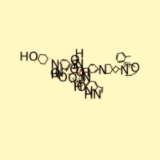 Cc1ccccc1[C@@H]1COCCCN1C1CC2(CCN(c3ccc(C(=O)NS(=O)(=O)c4ccc(NC[C@H]5CC[C@](C)(O)CC5)c([N+](=O)[O-])c4)c(N4c5cc6cc[nH]c6nc5O[C@@H]5[C@@H]4CCOC5(C)C)c3)CC2)C1